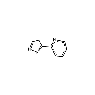 C1=NN=C(c2ccccn2)C1